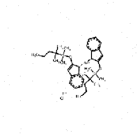 CCCC(C)(C)[Si](C)(C)OC1=Cc2ccccc2[C@@H]1[Zr+2][C@H]1C(O[Si](C)(C)C(C)(C)CCC)=Cc2ccccc21.[Cl-].[Cl-]